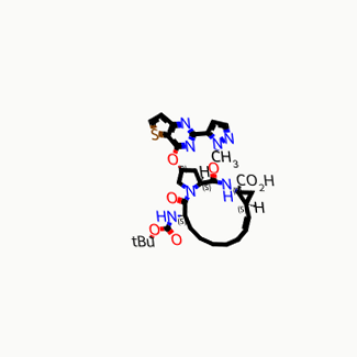 Cn1nccc1-c1nc(O[C@@H]2C[C@H]3C(=O)N[C@]4(C(=O)O)C[C@H]4C=CCCCCC[C@H](NC(=O)OC(C)(C)C)C(=O)N3C2)c2sccc2n1